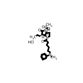 CCC[C@H]1C(=O)N(S(C)(=O)=O)[C@H]2CCN(C(=O)CCCCCN(C)c3ccccc3)[C@H]12.Cl